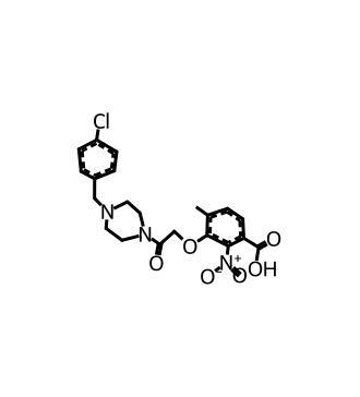 Cc1ccc(C(=O)O)c([N+](=O)[O-])c1OCC(=O)N1CCN(Cc2ccc(Cl)cc2)CC1